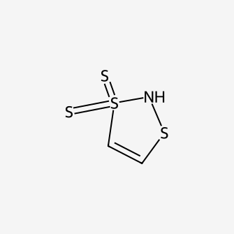 S=S1(=S)C=CSN1